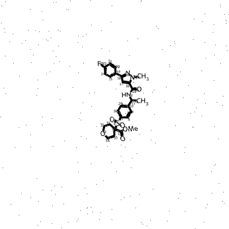 COC(=O)C1(S(=O)(=O)c2ccc(C(C)NC(=O)c3cc(-c4ccc(F)cc4)nn3C)cc2)CCOCC1